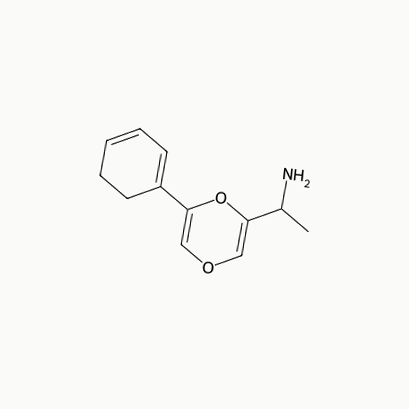 CC(N)C1=COC=C(C2=CC=CCC2)O1